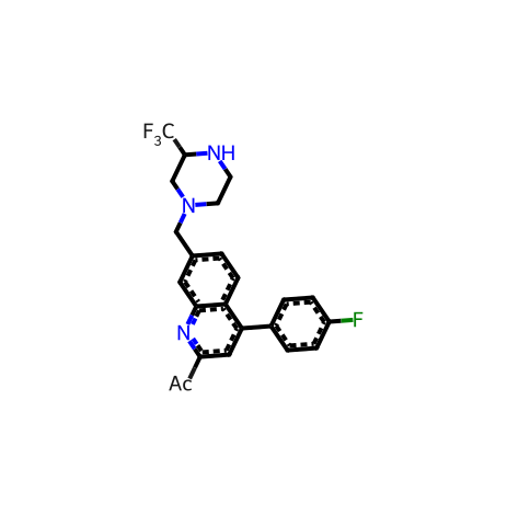 CC(=O)c1cc(-c2ccc(F)cc2)c2ccc(CN3CCNC(C(F)(F)F)C3)cc2n1